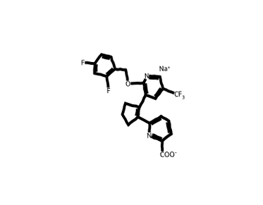 O=C([O-])c1cccc(C2=C(c3cc(C(F)(F)F)cnc3OCc3ccc(F)cc3F)CCC2)n1.[Na+]